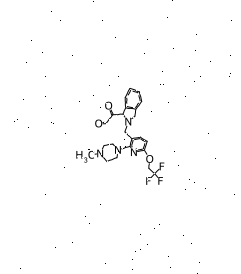 CN1CCN(c2nc(OCC(F)(F)F)ccc2CN2Cc3ccccc3C2C(=O)C=O)CC1